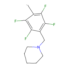 [CH2]c1c(F)c(F)c(CN2CCCCC2)c(F)c1F